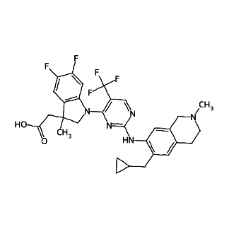 CN1CCc2cc(CC3CC3)c(Nc3ncc(C(F)(F)F)c(N4CC(C)(CC(=O)O)c5cc(F)c(F)cc54)n3)cc2C1